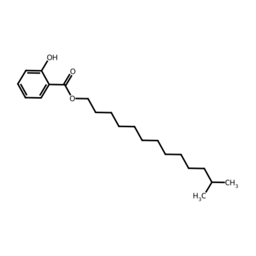 CC(C)CCCCCCCCCCCOC(=O)c1ccccc1O